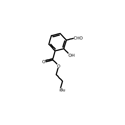 CCC(C)CCOC(=O)c1cccc(C=O)c1O